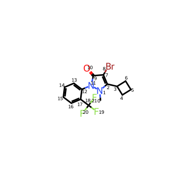 Cn1c(C2CCC2)c(Br)c(=O)n1-c1ccccc1C(F)(F)F